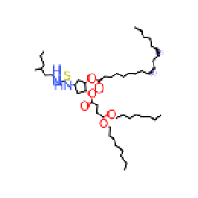 CCCCC/C=C\C/C=C\CCCCCCCC(=O)OC1CC(NC(=S)NCCC(C)CCC)CC1OC(=O)CCC(OCCCCCCCC)OCCCCCCCC